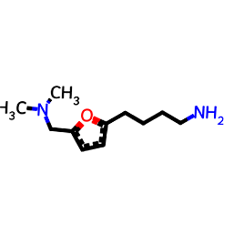 CN(C)Cc1ccc(CCCCN)o1